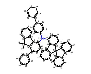 CC1(C)c2ccccc2-c2c(N(c3ccc(C4=CCCC=C4)cc3)c3cccc4c3-c3ccccc3C43c4ccccc4-c4ccccc43)ccc(-c3ccccc3)c21